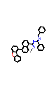 C=N/C(=N\C(=N/Cc1ccccc1)c1ccccc1)c1cccc2c(-c3cccc4oc5ccccc5c34)cccc12